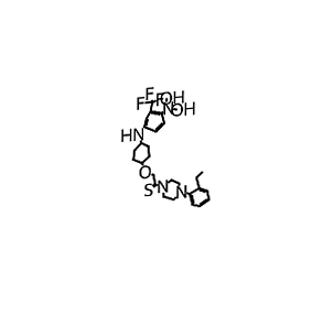 CCc1ccccc1N1CCN(C(=S)COC2CCC(Nc3ccc(N(O)O)c(C(F)(F)F)c3)CC2)CC1